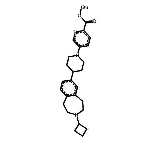 CC(C)(C)OC(=O)c1ccc(N2CCC(c3ccc4c(c3)CCN(C3CCC3)CC4)CC2)cn1